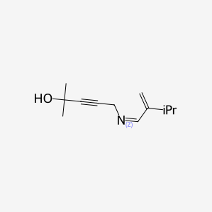 C=C(/C=N\CC#CC(C)(C)O)C(C)C